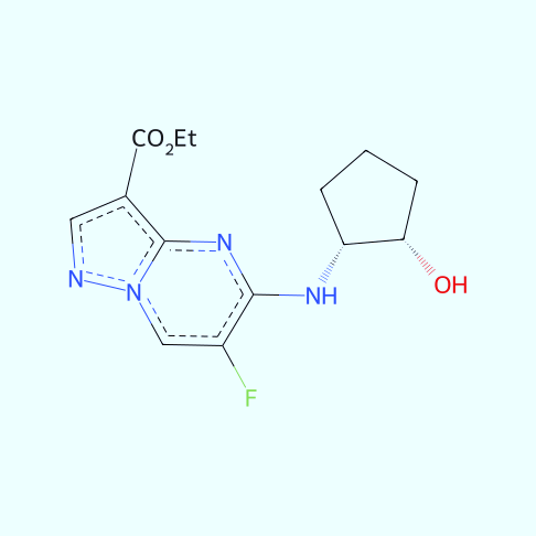 CCOC(=O)c1cnn2cc(F)c(N[C@@H]3CCC[C@@H]3O)nc12